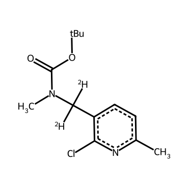 [2H]C([2H])(c1ccc(C)nc1Cl)N(C)C(=O)OC(C)(C)C